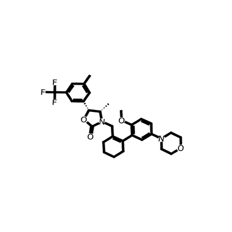 COc1ccc(N2CCOCC2)cc1C1=C(CN2C(=O)O[C@H](c3cc(C)cc(C(F)(F)F)c3)[C@@H]2C)CCCC1